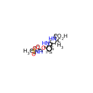 C[C@H](Cc1c[nH]c2c(OCC(=O)NS(C)(=O)=O)cccc12)NC(=O)O